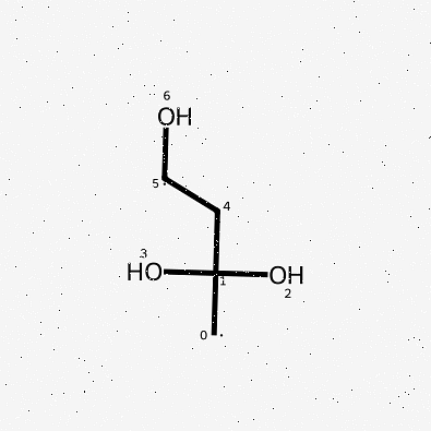 [CH2]C(O)(O)C[CH]O